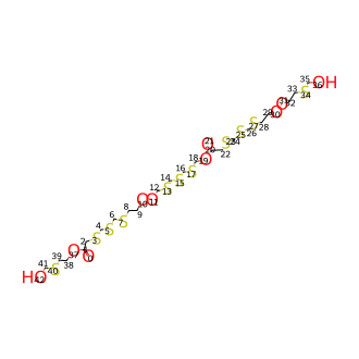 O=C(CSCSCSCCOOCSCSCSCOC(=O)CSCSCSCCOOCCSCO)OCCSCO